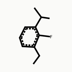 CCc1cccc([C](C)C)c1F